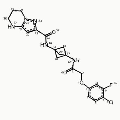 O=C(COc1ccc(Cl)c(F)c1)NC12CC(NC(=O)c3cc4n(n3)CCCN4)(C1)C2